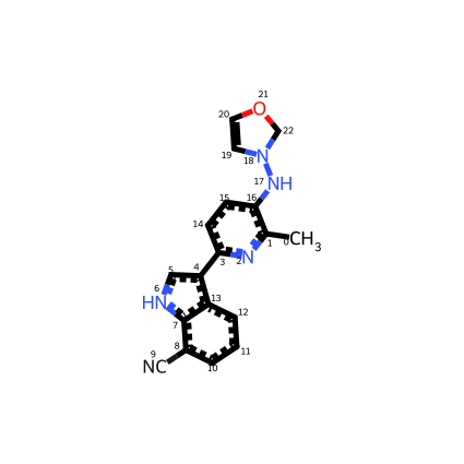 Cc1nc(-c2c[nH]c3c(C#N)cccc23)ccc1NN1C=COC1